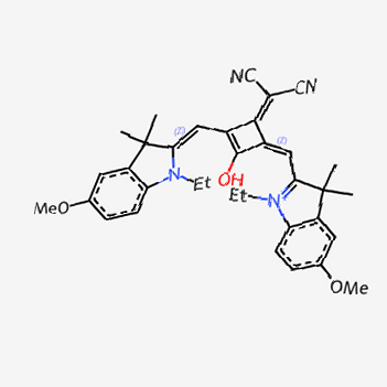 CCN1/C(=C\C2=C(O)C(=C\C3=[N+](CC)c4ccc(OC)cc4C3(C)C)/C2=C(C#N)C#N)C(C)(C)c2cc(OC)ccc21